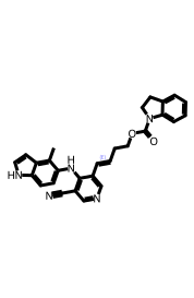 Cc1c(Nc2c(C#N)cncc2/C=C/CCOC(=O)N2CCc3ccccc32)ccc2[nH]ccc12